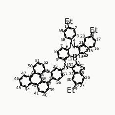 CCc1ccc(N2c3cccc4c3B(c3sc5ccc(CC)cc5c32)c2sc3ccc(CC)cc3c2N4c2ccc(-c3cccc4c5ccccc5c5ccccc5c34)cc2)cc1